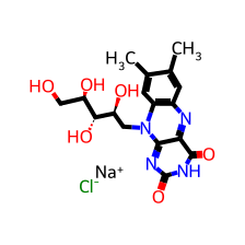 Cc1cc2nc3c(=O)[nH]c(=O)nc-3n(C[C@H](O)[C@H](O)[C@H](O)CO)c2cc1C.[Cl-].[Na+]